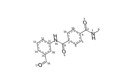 CNC(=O)c1ccc(C(=O)Nc2cccc(C=O)c2)cc1